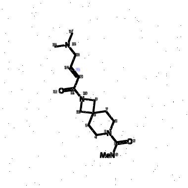 CNC(=O)N1CCC2(CC1)CN(C(=O)/C=C/CN(C)C)C2